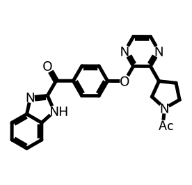 CC(=O)N1CCC(c2nccnc2Oc2ccc(C(=O)c3nc4ccccc4[nH]3)cc2)C1